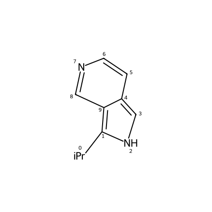 CC(C)c1[nH]cc2ccncc12